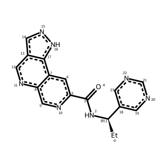 CC[C@@H](NC(=O)c1cc2c(cn1)ncc1cn[nH]c12)c1cncnc1